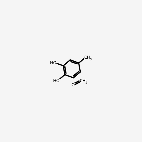 C=O.Cc1ccc(O)c(O)c1